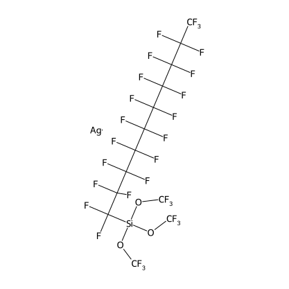 FC(F)(F)O[Si](OC(F)(F)F)(OC(F)(F)F)C(F)(F)C(F)(F)C(F)(F)C(F)(F)C(F)(F)C(F)(F)C(F)(F)C(F)(F)C(F)(F)C(F)(F)F.[Ag]